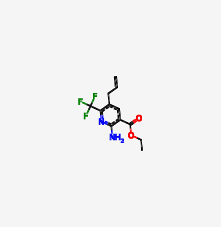 C=CCc1cc(C(=O)OCC)c(N)nc1C(F)(F)F